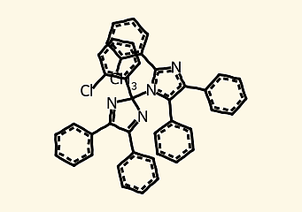 Cc1ccccc1-c1nc(-c2ccccc2)c(-c2ccccc2)n1C1(c2ccccc2Cl)N=C(c2ccccc2)C(c2ccccc2)=N1